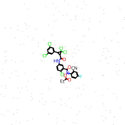 CCC(=O)ON(C(=O)c1cc(NC(=O)C2C(c3cc(Cl)cc(Cl)c3)C2(Cl)Cl)ccc1Cl)c1ccc(F)cc1C#N